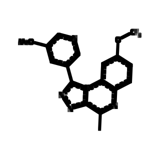 COc1cncc(-c2nnc3c(C)nc4ccc(OC(F)(F)F)cc4n23)c1